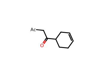 CC(=O)CC(=O)C1CC=CCC1